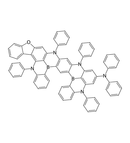 c1ccc(N(c2ccccc2)c2cc3c4c(c2)N(c2ccccc2)c2cc5c(cc2B4c2ccccc2N3c2ccccc2)B2c3ccccc3N(c3ccccc3)c3c2c(cc2oc4ccccc4c32)N5c2ccccc2)cc1